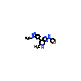 CCn1nnc2ccc(C3=C[C@@H](C)NCc4nc(NC5CCOCC5)ncc43)cc21